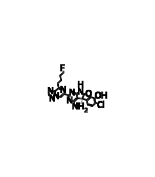 C[C@@]1(c2ccc(Cl)c(O)c2)C(=O)Nc2nc(-c3cn4ncnc4c(CCCCF)n3)nc(N)c21